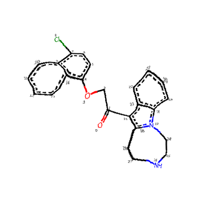 O=C(COc1ccc(Cl)c2ccccc12)c1c2n(c3ccccc13)CCNCC2